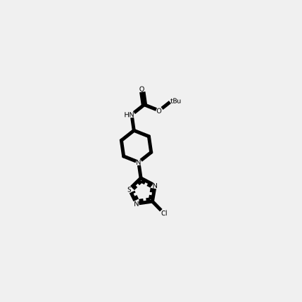 CC(C)(C)OC(=O)NC1CCN(c2nc(Cl)ns2)CC1